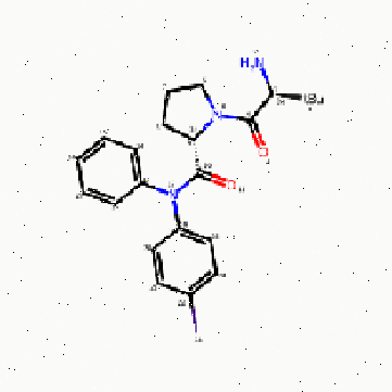 CC(C)(C)[C@H](N)C(=O)N1CCC[C@H]1C(=O)N(c1ccccc1)c1ccc(I)cc1